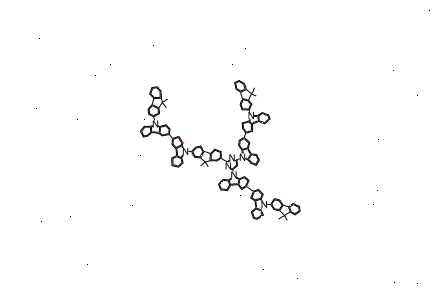 CC1(C)c2ccccc2-c2ccc(-n3c4ccccc4c4cc(-c5ccc6c(c5)c5ccccc5n6-c5ccc6c(c5)C(C)(C)c5cc(-c7nc(-n8c9ccccc9c9cc(-c%10ccc%11c(c%10)c%10ccccc%10n%11-c%10ccc%11c(c%10)C(C)(C)c%10ccccc%10-%11)ccc98)cc(-n8c9ccccc9c9cc(-c%10ccc%11c(c%10)c%10ccccc%10n%11-c%10ccc%11c(c%10)C(C)(C)c%10ccccc%10-%11)ccc98)n7)ccc5-6)ccc43)cc21